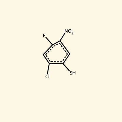 O=[N+]([O-])c1cc(S)c(Cl)cc1F